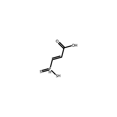 O=C(O)C=C[PH](=S)S